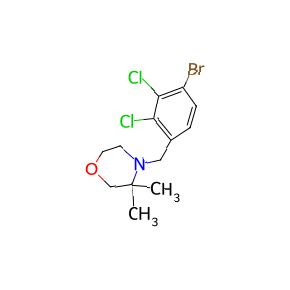 CC1(C)COCCN1Cc1ccc(Br)c(Cl)c1Cl